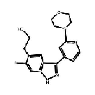 OCCc1cc2c(-c3ccnc(N4CCOCC4)c3)n[nH]c2cc1F